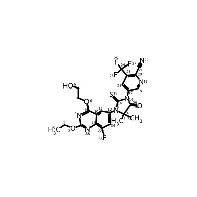 CCOc1nc(OCCO)c2cc(N3C(=S)N(c4cnc(C#N)c(C(F)(F)F)c4)C(=O)C3(C)C)cc(F)c2n1